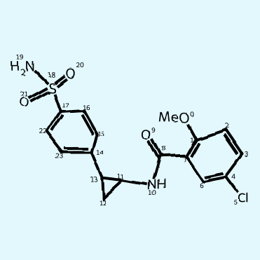 COc1ccc(Cl)cc1C(=O)NC1CC1c1ccc(S(N)(=O)=O)cc1